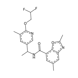 Cc1cc(C(=O)NC(C)c2cnc(OCC(F)F)c(C)c2)c2oc(C)nc2c1